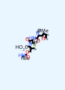 CCCCNC(=O)OCC1=C(C(=O)O)N2C(=O)[C@@H](NC(=O)C(=NOC)c3ccco3)[C@H]2SC1